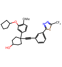 COc1ccc(C2(C#Cc3cccc(-c4nnc(C(F)(F)F)s4)c3)CCC(O)CC2)cc1OC1CCCC1